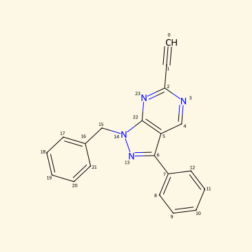 C#Cc1ncc2c(-c3ccccc3)nn(Cc3ccccc3)c2n1